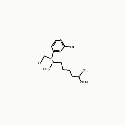 CCOC(=O)N(C)CCCCN(C(=O)O)N(CC(C)C)c1ccnc(C#N)n1